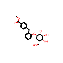 COC(=O)c1ccc(Cc2ccccc2O[C@@H]2C[C@H](CO)[C@@H](O)[C@H](O)[C@H]2O)cc1